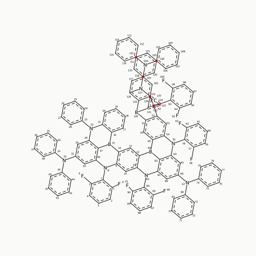 Fc1cccc(F)c1N1c2cc3c(cc2B2c4ccccc4N(c4ccccc4)c4cc(N(c5ccccc5)c5ccccc5)cc1c42)B1c2cc4c(cc2N(c2c(F)cccc2F)c2cc(N(c5ccccc5)c5ccccc5)cc(c21)N3c1c(F)cccc1F)N(c1c(F)cccc1F)c1cc(N(c2ccccc2)c2ccccc2)cc2c1B4c1ccccc1N2c1ccccc1